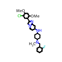 COc1cc(OC)c(-c2cn3ccc(NC4CCC(N(C)Cc5ccccc5F)CC4)cc3n2)cc1Cl